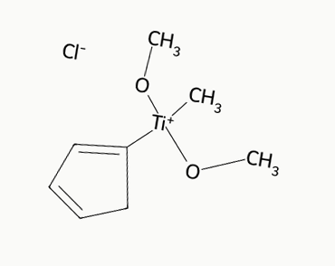 C[O][Ti+]([CH3])([O]C)[C]1=CC=CC1.[Cl-]